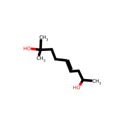 CC(O)C/C=C/CCC(C)(C)O